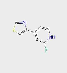 FC1C=C(c2cscn2)C=CN1